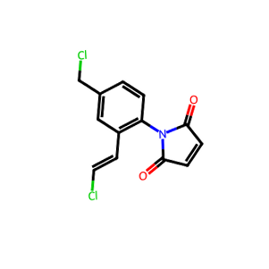 O=C1C=CC(=O)N1c1ccc(CCl)cc1/C=C/Cl